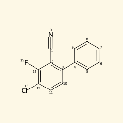 N#Cc1c(-c2ccccc2)ccc(Cl)c1F